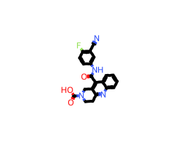 N#Cc1cc(NC(=O)c2c3c(nc4ccccc24)CCN(C(=O)O)C3)ccc1F